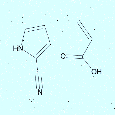 C=CC(=O)O.N#Cc1ccc[nH]1